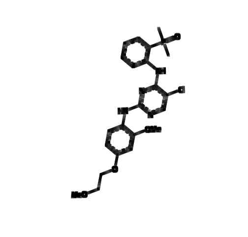 COCCOc1ccc(Nc2ncc(Cl)c(Nc3ccccc3P(C)(C)=O)n2)c(OC)c1